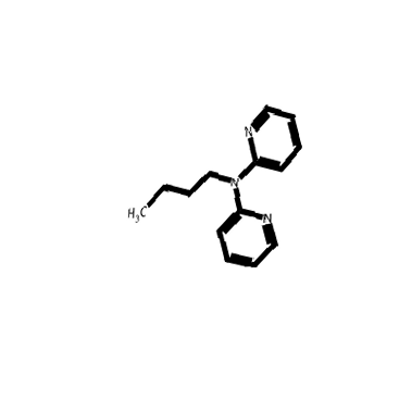 CCCCN(c1ccccn1)c1ccccn1